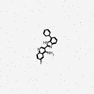 Nc1c(-c2nc3cccc(C4C=CC=CC4)c3[nH]2)cnc2ccc(F)cc12